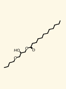 CCCCCCCCCCCC(=O)OCC(O)COCCCC